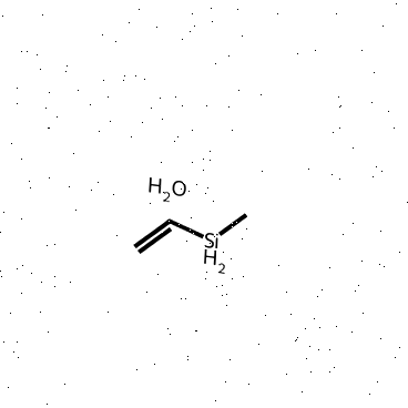 C=C[SiH2]C.O